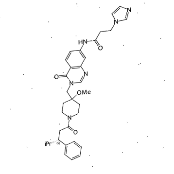 COC1(Cn2cnc3cc(NC(=O)CCn4ccnc4)ccc3c2=O)CCN(C(=O)C[C@H](c2ccccc2)C(C)C)CC1